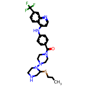 CCCSC1CNCCN1N1CCN(C(=O)c2ccc(Nc3ccnc4cc(C(F)(F)F)ccc34)cc2)CC1